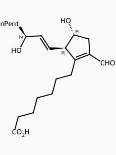 CCCCC[C@H](O)C=C[C@@H]1C(CCCCCCC(=O)O)=C(C=O)C[C@H]1O